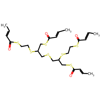 CC=CC(=O)SCCSC(CSCC(CSC(=O)C=CC)SCCSC(=O)C=CC)CSC(=O)C=CC